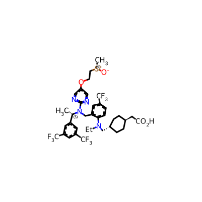 CCN(C[C@H]1CC[C@H](CC(=O)O)CC1)c1ccc(C(F)(F)F)cc1CN(c1ncc(OCC[S@@+](C)[O-])cn1)[C@@H](C)c1cc(C(F)(F)F)cc(C(F)(F)F)c1